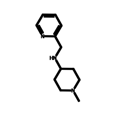 CN1CCC(NCc2ccccn2)CC1